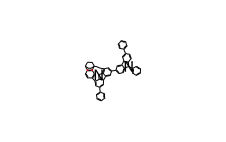 c1ccc(-c2ccc3c(c2)c2cc(-c4cc5c6c(c4)c4cc(-c7ccccc7)cc7c8ccc9c(c8n6c47)C54CCC9CC4)ccc2n3-c2ccccc2)cc1